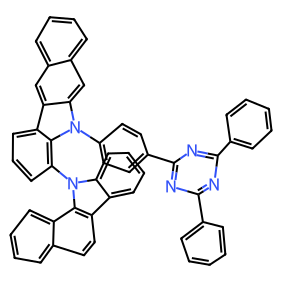 c1ccc(-c2nc(-c3ccccc3)nc(-c3ccc(-n4c5cc6ccccc6cc5c5cccc(-n6c7ccccc7c7ccc8ccccc8c76)c54)cc3)n2)cc1